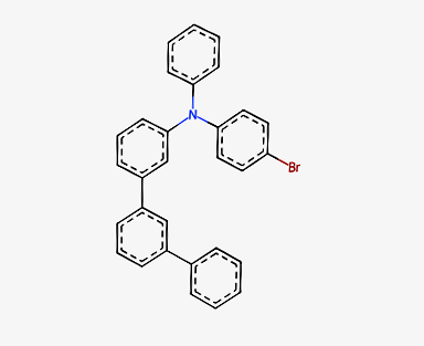 Brc1ccc(N(c2ccccc2)c2cccc(-c3cccc(-c4ccccc4)c3)c2)cc1